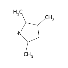 CC1CC(C)C(C)[N]1